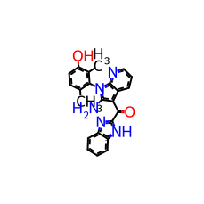 Cc1ccc(O)c(C)c1-n1c(N)c(C(=O)c2nc3ccccc3[nH]2)c2cccnc21